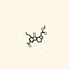 CCCc1cc(C(C)=O)cc2c3c([nH]c12)C1C(CC3)CC1CC(=O)OCC